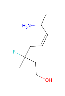 CC(N)/C=C\CC(C)(F)CCO